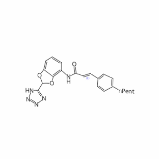 CCCCCc1ccc(/C=C/C(=O)Nc2cccc3c2OC(c2nnn[nH]2)O3)cc1